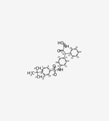 CC(C)(C)c1ccc(S(=O)(=O)Nc2ccc(C(C(=O)NO)c3ccccc3)cc2)cc1